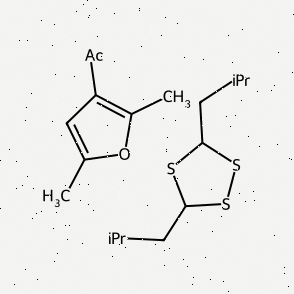 CC(=O)c1cc(C)oc1C.CC(C)CC1SSC(CC(C)C)S1